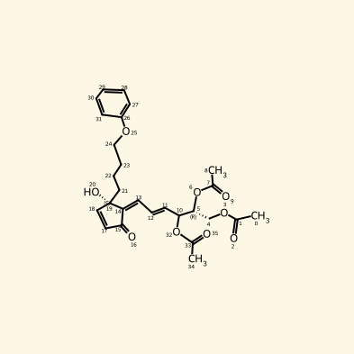 CC(=O)OC[C@@H](OC(C)=O)C(C=CC=C1C(=O)C=C[C@@]1(O)CCCCOc1ccccc1)OC(C)=O